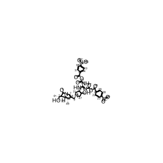 C[C@@H](O)C1C(=O)N2C=C(CN3C[C@H](NC(=NC(=O)OC(=O)c4ccc([N+](=O)[O-])cc4)NC(=O)OC(=O)c4ccc([N+](=O)[O-])cc4)[C@@H](O)C3)[C@H](C)[C@H]12